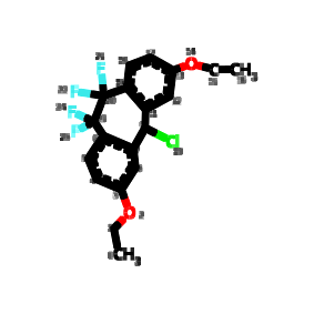 CCOc1ccc2c(c1)C(Cl)c1cc(OCC)ccc1C(F)(F)C2(F)F